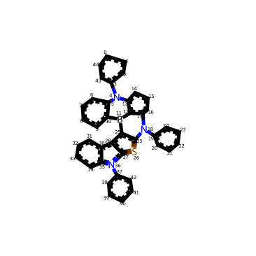 c1ccc(N2c3ccccc3B3c4c2cccc4N(c2ccccc2)c2sc4c(c23)c2ccccc2n4-c2ccccc2)cc1